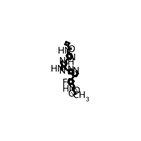 CS(=O)(=O)NCc1cc(F)cc(-c2ccnc3[nH]c(-c4n[nH]c5cnc(-c6cncc(NC(=O)C7CCC7)c6)cc45)cc23)c1